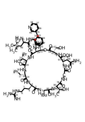 CC[C@H](C)[C@@H]1NC(=O)[C@@H](CCCNC(=N)N)NC(=O)[C@H](CC(C)C)NC(=O)[C@H]([C@H](O)C(C)C)NC(=O)[C@@H](NC(=O)[C@H](Cc2cccnc2)NC(=O)[C@H](N)C[Si](C)(C)C)[C@@H](c2ccccc2)OC(=O)[C@H](CO)NC(=O)[C@H]([C@H](O)C(N)=O)NC(=O)CNC(=O)C([C@H](C)O)NC1=O